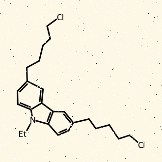 CCn1c2ccc(CCCCCCl)cc2c2cc(CCCCCCl)ccc21